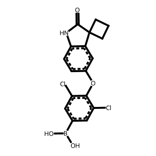 O=C1Nc2ccc(Oc3c(Cl)cc(B(O)O)cc3Cl)cc2C12CCC2